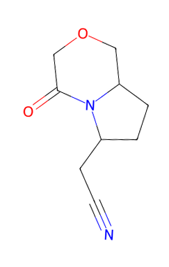 N#CCC1CCC2COCC(=O)N12